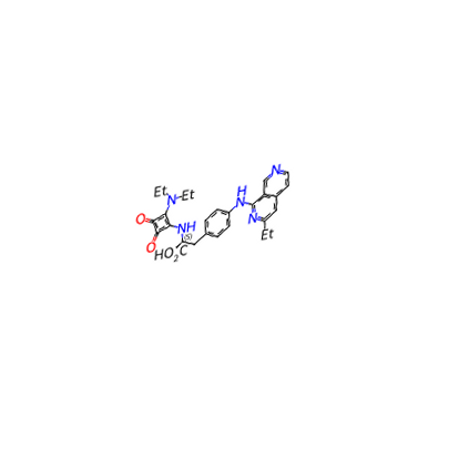 CCc1cc2ccncc2c(Nc2ccc(C[C@H](Nc3c(N(CC)CC)c(=O)c3=O)C(=O)O)cc2)n1